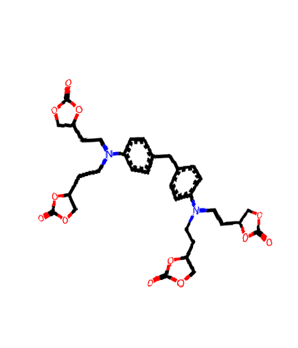 O=C1OCC(CCN(CCC2COC(=O)O2)c2ccc(Cc3ccc(N(CCC4COC(=O)O4)CCC4COC(=O)O4)cc3)cc2)O1